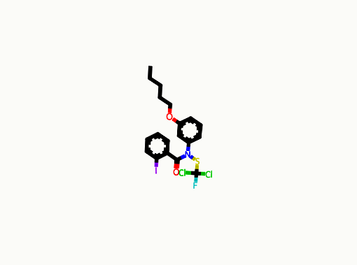 CCCCCOc1cccc(N(SC(F)(Cl)Cl)C(=O)c2ccccc2I)c1